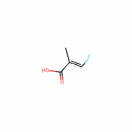 C/C(=C\F)C(=O)O